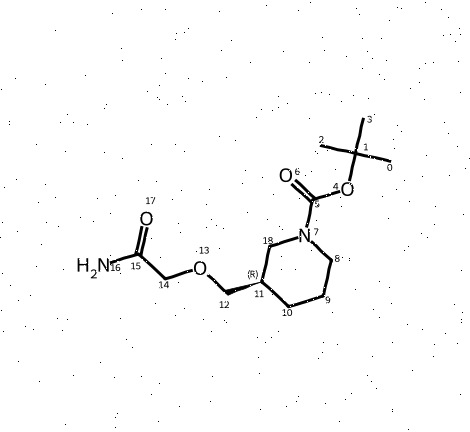 CC(C)(C)OC(=O)N1CCC[C@@H](COCC(N)=O)C1